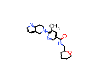 Cc1cc(C(=O)NCC2CCCCO2)cnc1N1CCc2ncccc2C1